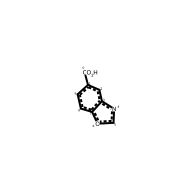 O=C(O)c1[c]c2ncoc2cc1